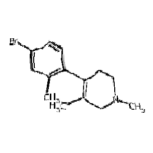 CC1=C(c2ccc(Br)cc2C)CCN(C)C1